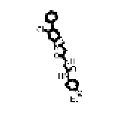 CCOc1ccc(NC(=O)CNC(=O)Cc2nc3cc(Cl)c(-c4ccccc4)cc3s2)cc1